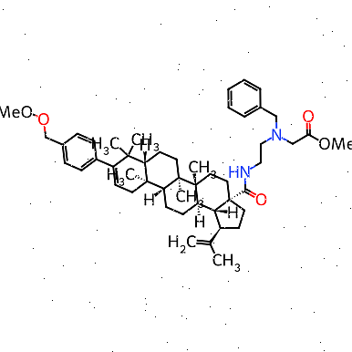 C=C(C)[C@@H]1CC[C@]2(C(=O)NCCN(CC(=O)OC)Cc3ccccc3)CC[C@]3(C)[C@H](CC[C@@H]4[C@@]5(C)CC=C(c6ccc(COOC)cc6)C(C)(C)[C@@H]5CC[C@]43C)[C@@H]12